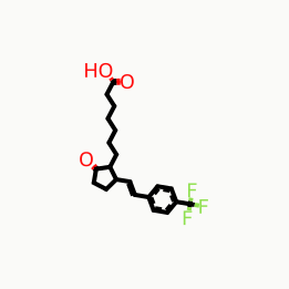 O=C(O)CCCCCCC1C(=O)CCC1C=Cc1ccc(C(F)(F)F)cc1